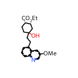 CCOC(=O)[C@H]1CC[C@@](O)(CCc2cccc3ncc(OC)cc23)CC1